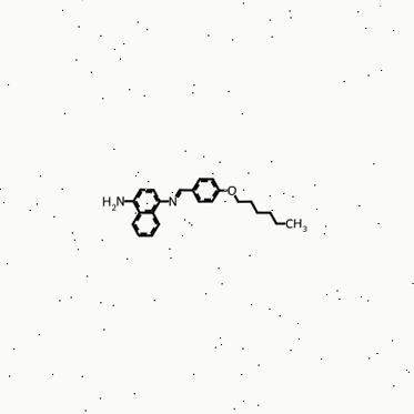 CCCCCCOc1ccc(/C=N/c2ccc(N)c3ccccc23)cc1